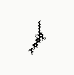 CCCCCCCCc1ccc(C(=O)O)c(-c2ccc(-c3ccc(OCC(C)CC)cc3)cc2)c1Br